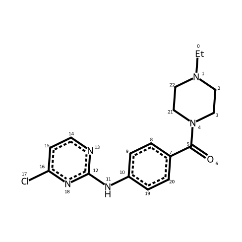 CCN1CCN(C(=O)c2ccc(Nc3nccc(Cl)n3)cc2)CC1